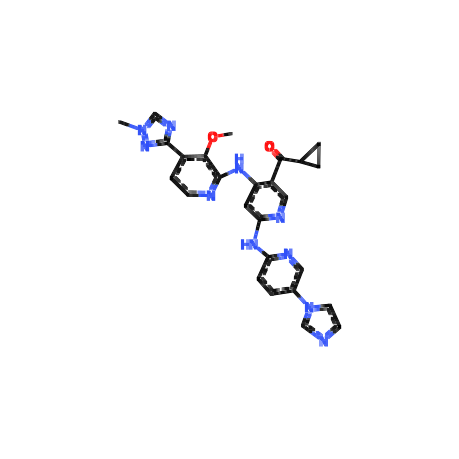 COc1c(-c2ncn(C)n2)ccnc1Nc1cc(Nc2ccc(-n3ccnc3)cn2)ncc1C(=O)C1CC1